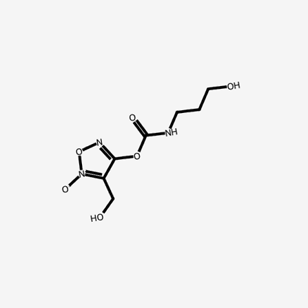 O=C(NCCCO)Oc1no[n+]([O-])c1CO